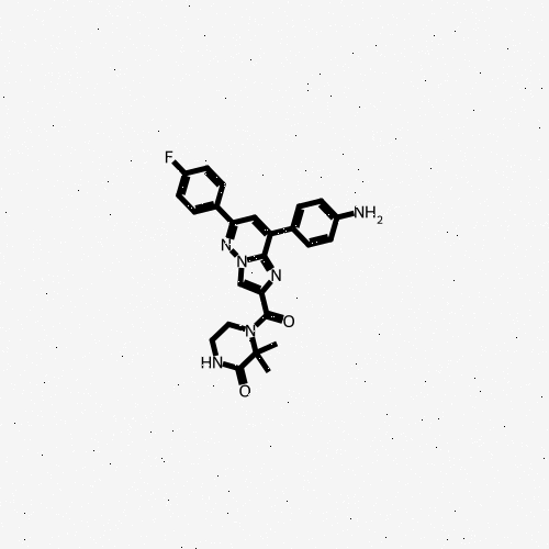 CC1(C)C(=O)NCCN1C(=O)c1cn2nc(-c3ccc(F)cc3)cc(-c3ccc(N)cc3)c2n1